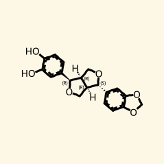 Oc1ccc([C@@H]2OC[C@H]3[C@@H]2CO[C@@H]3c2ccc3c(c2)OCO3)cc1O